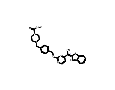 COC(=O)N1CCN(Cc2ccc(COc3nccc(/C(C#N)=C4\Nc5ccccc5S4)n3)cc2)CC1